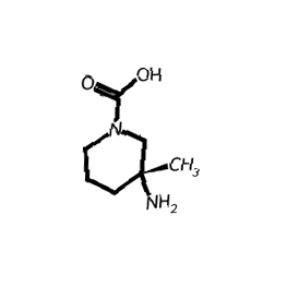 C[C@@]1(N)CCCN(C(=O)O)C1